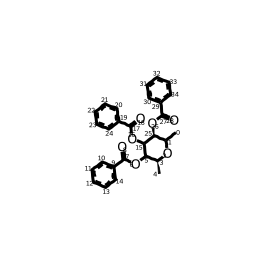 CC1O[C@@H](C)C(OC(=O)c2ccccc2)C(OC(=O)c2ccccc2)[C@H]1OC(=O)c1ccccc1